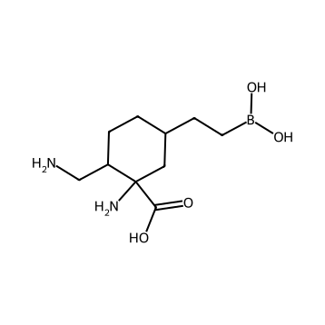 NCC1CCC(CCB(O)O)CC1(N)C(=O)O